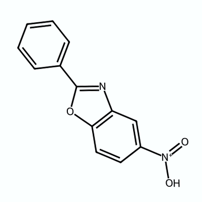 O=[N+](O)c1ccc2oc(-c3ccccc3)nc2c1